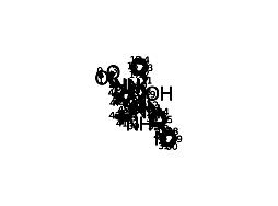 COC(=O)CN[C@H](C(=O)N[C@@H](Cc1ccccc1)[C@@H](O)CN(Cc1ccc(-c2ccccn2)cc1)NC(=O)[C@@H](N)C(C)(C)C)C(C)(C)C